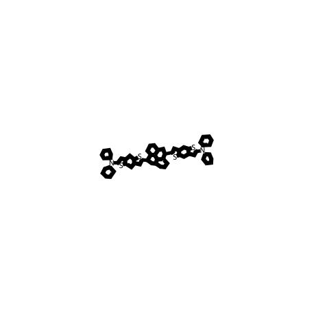 c1ccc(N(c2ccccc2)c2cc3cc4sc(-c5cc6cccc7c(-c8cc9cc%10sc(N(c%11ccccc%11)c%11ccccc%11)cc%10cc9s8)cc8cccc5c8c67)cc4cc3s2)cc1